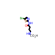 O=C(O)NCCCC(=O)Nc1ncc(Br)s1